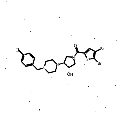 O=C(c1cc(Br)c(Br)s1)N1C[C@H](O)[C@@H](N2CCN(Cc3ccc(Cl)cc3)CC2)C1